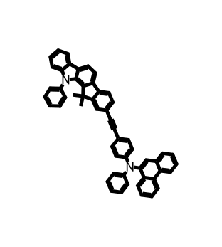 CC1(C)c2cc(C#Cc3ccc(N(c4ccccc4)c4cc5ccccc5c5ccccc45)cc3)ccc2-c2ccc3c4ccccc4n(-c4ccccc4)c3c21